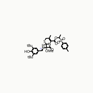 CO[C@@]1(/N=C/c2cc(C(C)(C)C)c(O)c(C(C)(C)C)c2)C(=O)N2C(C(=O)OC(C)S(=O)(=O)c3ccc(C)cc3)=C(C)CS[C@@H]21